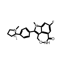 CN1CCC[C@]1(C)c1ccc(-c2c3c4c(cc(F)cc4n2C)C(=O)NOC3)cc1